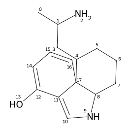 CC(N)CC1CCCC2NC=C3C(O)=CC=CC312